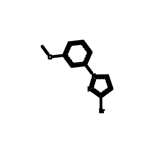 COc1cccc(-n2ccc(Br)n2)c1